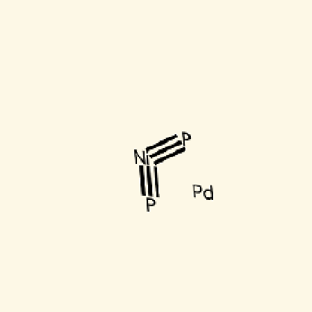 [P]#[Ni]#[P].[Pd]